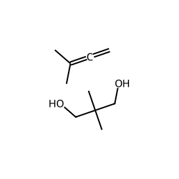 C=C=C(C)C.CC(C)(CO)CO